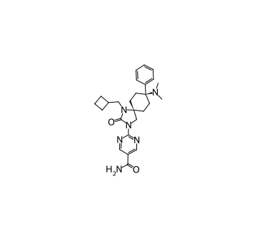 CN(C)[C@]1(c2ccccc2)CC[C@@]2(CC1)CN(c1ncc(C(N)=O)cn1)C(=O)N2CC1CCC1